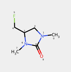 CN1CC(CF)N(C)C1=O